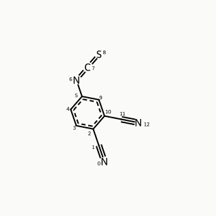 N#Cc1ccc(N=C=S)cc1C#N